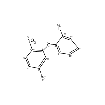 CC(=O)c1ccc([N+](=O)[O-])c(Oc2ccccc2F)c1